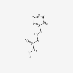 CCOC(=O)COCc1ccccn1